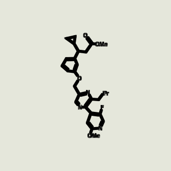 COC(=O)CC(c1cccc(OCc2cnc(-c3cc(OC)ncc3F)c(CC(C)C)n2)c1)C1CC1